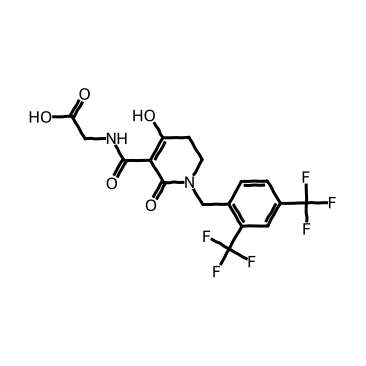 O=C(O)CNC(=O)C1=C(O)CCN(Cc2ccc(C(F)(F)F)cc2C(F)(F)F)C1=O